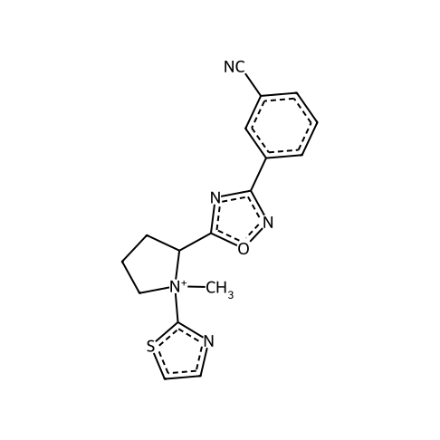 C[N+]1(c2nccs2)CCCC1c1nc(-c2cccc(C#N)c2)no1